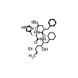 C=C[C@H](CC)C[C@H](O)[C@H](CC1CCCCC1)NC(=O)[C@H](Cc1c[nH]cn1)NC(=O)[C@@H](CC(=O)C(C)(C)C)Cc1ccccc1